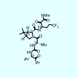 CNC(=O)C(=O)C(CCC(F)(F)F)NC(=O)[C@@H]1[C@@H]2[C@H](CN1C(=O)[C@@H](NC(=O)N[C@H](C(=O)C(C)C)C(C)C)C(C)(C)C)C2(C)C